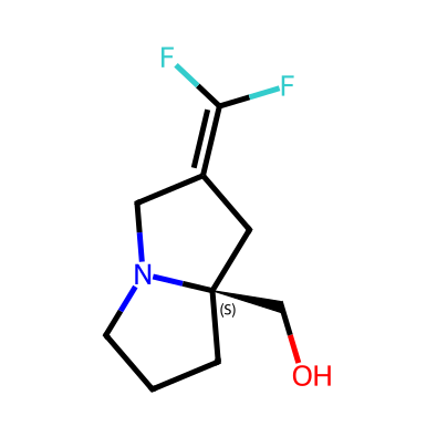 OC[C@@]12CCCN1CC(=C(F)F)C2